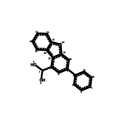 OB(O)c1cc(-c2ccccc2)cc2sc3ccccc3c12